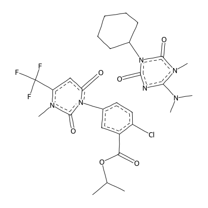 CC(C)OC(=O)c1cc(-n2c(=O)cc(C(F)(F)F)n(C)c2=O)ccc1Cl.CN(C)c1nc(=O)n(C2CCCCC2)c(=O)n1C